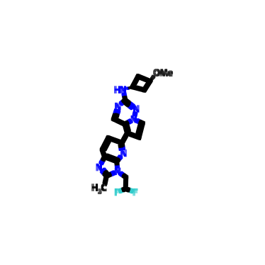 CO[C@H]1C[C@H](Nc2ncc3c(-c4ccc5nc(C)n(CC(F)F)c5n4)ccn3n2)C1